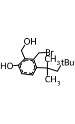 CC(C)(C)CC(C)(C)c1ccc(O)c(CO)c1CBr